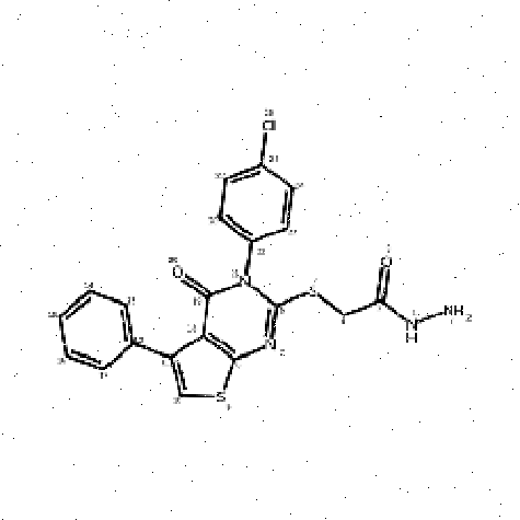 NNC(=O)CSc1nc2scc(-c3ccccc3)c2c(=O)n1-c1ccc(Cl)cc1